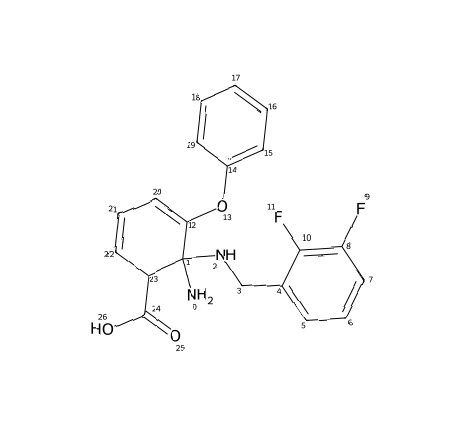 NC1(NCc2cccc(F)c2F)C(Oc2ccccc2)=CC=CC1C(=O)O